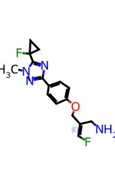 Cn1nc(-c2ccc(OC/C(=C/F)CN)cc2)nc1C1(F)CC1